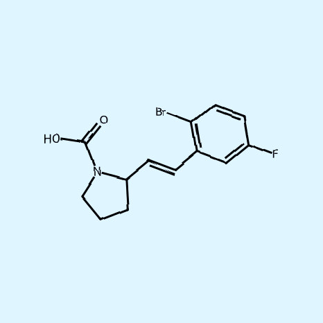 O=C(O)N1CCCC1C=Cc1cc(F)ccc1Br